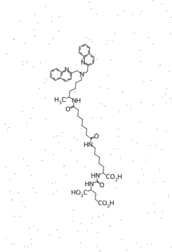 CC(CCCCN(Cc1ccc2ccccc2n1)Cc1ccc2ccccc2n1)NC(=O)CCCCCCC(=O)NCCCCCC(NC(=O)NC(CCC(=O)O)C(=O)O)C(=O)O